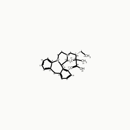 CC[C@@H](CN1CCN2c3ccccc3Cc3ccccc3C2C1)C(C)(C)C(=O)O